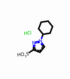 Cl.O=S(=O)(O)c1ccn(C2CCCCC2)n1